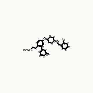 CC(=O)NCCc1ccc(OC2CCC(OCc3ccccc3Br)CC2)cc1-c1cccc(F)c1